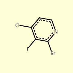 Clc1ccnc(Br)c1I